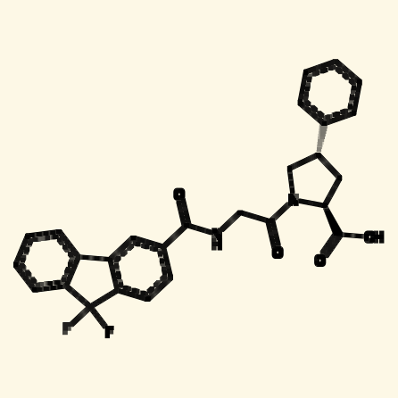 O=C(NCC(=O)N1C[C@H](c2ccccc2)C[C@H]1C(=O)O)c1ccc2c(c1)-c1ccccc1C2(F)F